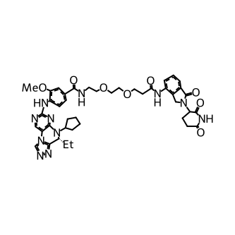 CC[C@@H]1c2nncn2-c2cnc(Nc3ccc(C(=O)NCCOCCOCCC(=O)Nc4cccc5c4CN(C4CCC(=O)NC4=O)C5=O)cc3OC)nc2N1C1CCCC1